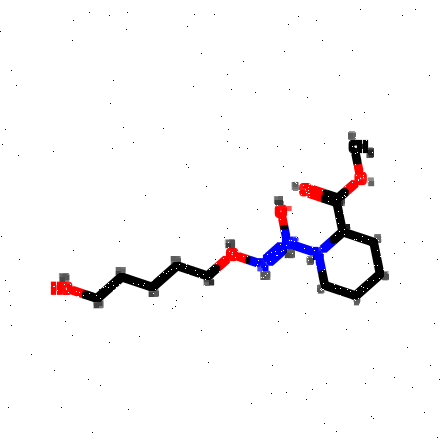 COC(=O)C1CCCCN1/[N+]([O-])=N/OCCCCCO